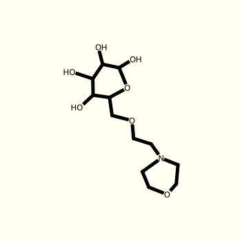 OC1OC(COCCN2CCOCC2)C(O)C(O)C1O